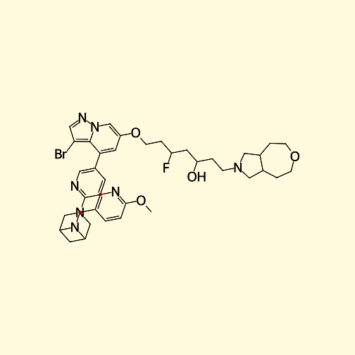 COc1ccc(CN2C3CC2CN(c2ccc(-c4cc(OCCC(F)CC(O)CCN5CC6CCOCCC6C5)cn5ncc(Br)c45)cn2)C3)cn1